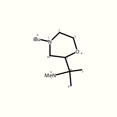 CCC(C)N1CCOC(C(C)(C)NC)C1